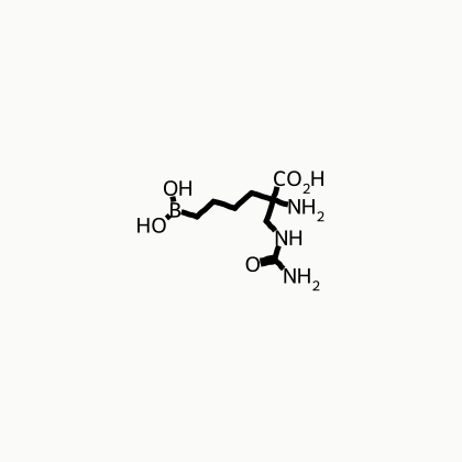 NC(=O)NCC(N)(CCCCB(O)O)C(=O)O